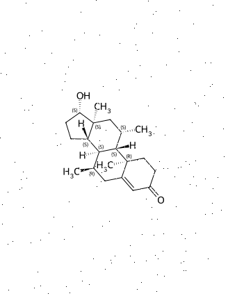 C[C@@H]1CC2=CC(=O)CC[C@]2(C)[C@@H]2[C@@H]1[C@@H]1CC[C@H](O)[C@@]1(C)C[C@@H]2C